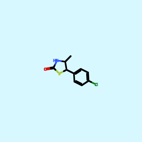 CC1NC(=O)SC1c1ccc(Cl)cc1